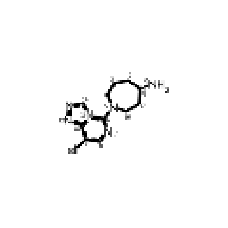 N[C@@H]1CCCN(c2ncc(I)c3nncn23)CC1